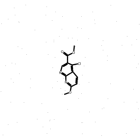 COC(=O)c1cnc2nc(OC)ccc2c1Cl